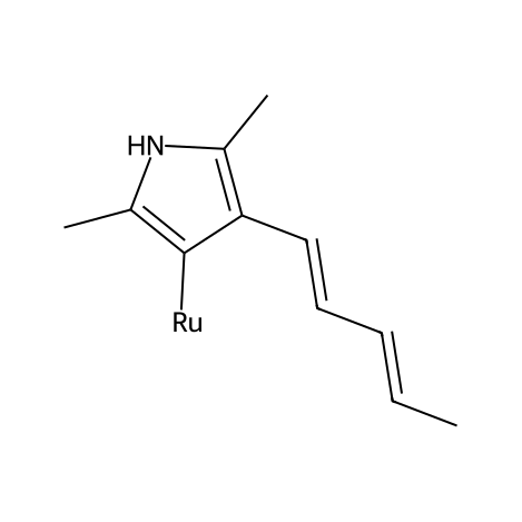 CC=CC=Cc1c(C)[nH]c(C)[c]1[Ru]